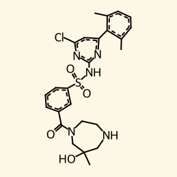 Cc1cccc(C)c1-c1cc(Cl)nc(NS(=O)(=O)c2cccc(C(=O)N3CCNCC(C)(O)C3)c2)n1